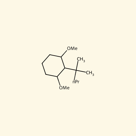 CCCC(C)(C)C1C(OC)CCCC1OC